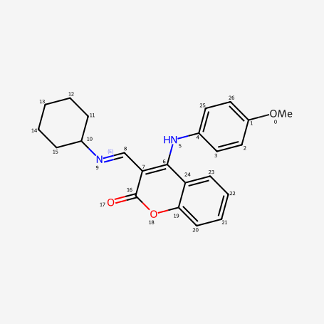 COc1ccc(Nc2c(/C=N/C3CCCCC3)c(=O)oc3ccccc23)cc1